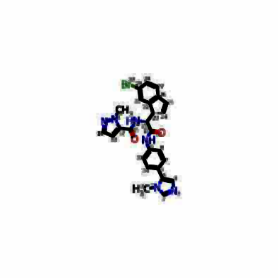 Cn1cncc1-c1ccc(NC(=O)[C@@H](NC(=O)c2ccnn2C)[C@H]2C=Cc3ccc(Br)cc32)cc1